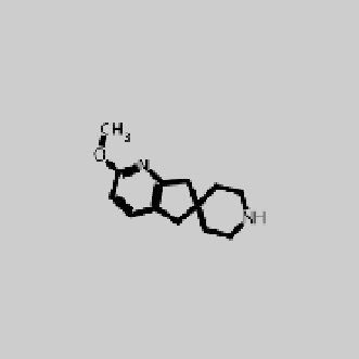 COc1ccc2c(n1)CC1(CCNCC1)C2